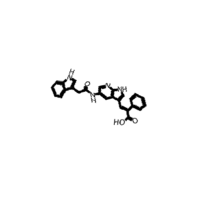 O=C(Cc1c[nH]c2ccccc12)Nc1cnc2[nH]cc(/C=C(/C(=O)O)c3ccccc3)c2c1